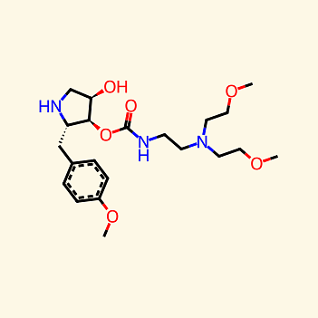 COCCN(CCNC(=O)O[C@@H]1[C@H](O)CN[C@H]1Cc1ccc(OC)cc1)CCOC